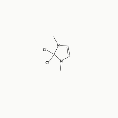 CN1C=CN(C)C1(Cl)Cl